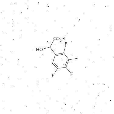 Cc1c(F)c(F)cc(C(O)C(=O)O)c1F